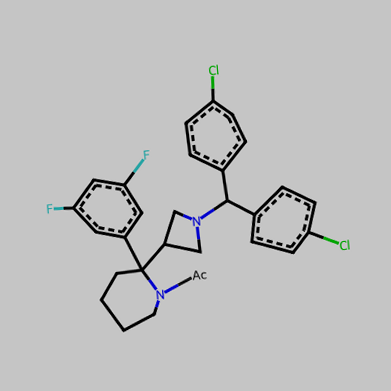 CC(=O)N1CCCCC1(c1cc(F)cc(F)c1)C1CN(C(c2ccc(Cl)cc2)c2ccc(Cl)cc2)C1